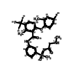 CNCC(=O)N=[S@](C)(=O)c1cccc(NC(=O)c2c(Oc3ccc(F)nc3C)ncc(C(F)(F)F)c2C)c1